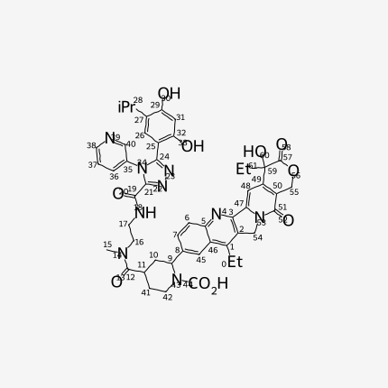 CCc1c2c(nc3ccc(C4CC(C(=O)N(C)CCNC(=O)c5nnc(-c6cc(C(C)C)c(O)cc6O)n5-c5cccnc5)CCN4C(=O)O)cc13)-c1cc3c(c(=O)n1C2)COC(=O)C3(O)CC